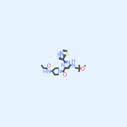 CCC(=O)NC1CCN(C(=O)c2cc(NCC(C)(C)OC)nc(-c3cnn4ccsc34)n2)CC1